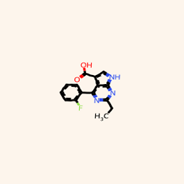 CCc1nc(-c2ccccc2F)c2c(C(=O)O)c[nH]c2n1